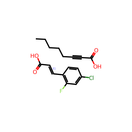 CCCCCC#CC(=O)O.O=C(O)/C=C/c1ccc(Cl)cc1F